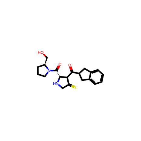 O=C(C1Cc2ccccc2C1)C1C(=S)CN[C@@H]1C(=O)N1CCC[C@H]1CO